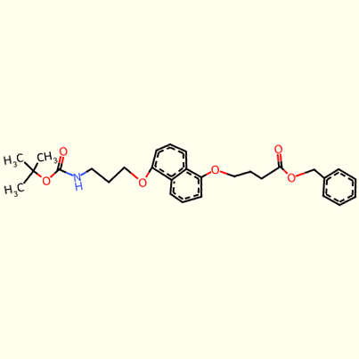 CC(C)(C)OC(=O)NCCCOc1cccc2c(OCCCC(=O)OCc3ccccc3)cccc12